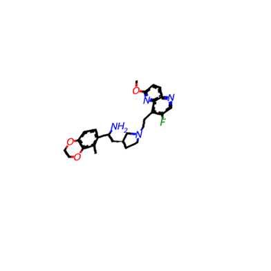 COc1ccc2ncc(F)c(CCN3CC[C@@H](CC(N)c4ccc5c(c4C)OCCO5)C3)c2n1